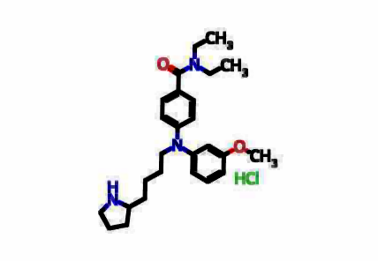 CCN(CC)C(=O)c1ccc(N(CCCCC2CCCN2)c2cccc(OC)c2)cc1.Cl